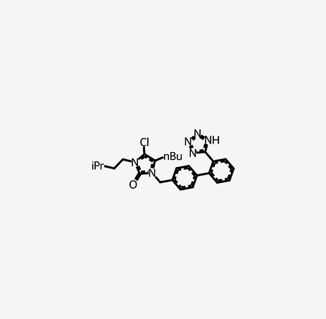 CCCCc1c(Cl)n(CCC(C)C)c(=O)n1Cc1ccc(-c2ccccc2-c2nnn[nH]2)cc1